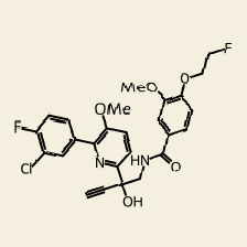 C#CC(O)(CNC(=O)c1ccc(OCCF)c(OC)c1)c1ccc(OC)c(-c2ccc(F)c(Cl)c2)n1